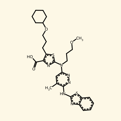 COCCCN(c1cc(C)c(Nc2nc3ccccc3s2)nn1)c1nc(C(=O)O)c(CCCOC2CCCCC2)s1